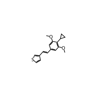 COc1cc(C=Cc2ccsc2)cc(OC)c1C1CC1